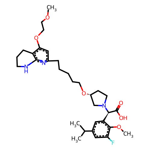 COCCOc1cc(CCCCCO[C@@H]2CCN([C@@H](C(=O)O)c3cc(C(C)C)cc(F)c3OC)C2)nc2c1CCCN2